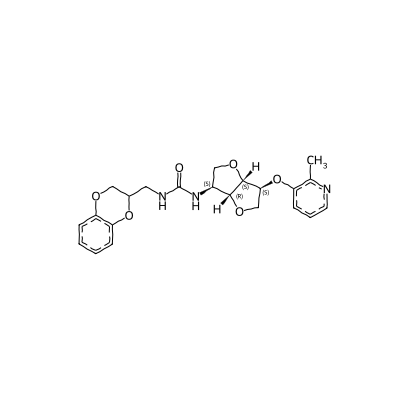 Cc1ncccc1O[C@H]1CO[C@H]2[C@@H]1OC[C@@H]2NC(=O)NCC1COc2ccccc2O1